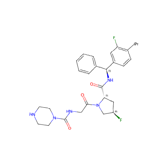 CC(C)c1ccc([C@@H](NC(=O)[C@@H]2C[C@@H](F)CN2C(=O)CNC(=O)N2CCNCC2)c2ccccc2)cc1F